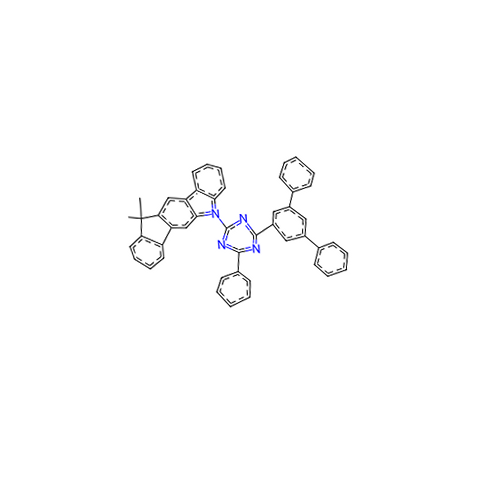 CC1(C)c2ccccc2-c2cc3c(cc21)c1ccccc1n3-c1nc(-c2ccccc2)nc(-c2cc(-c3ccccc3)cc(-c3ccccc3)c2)n1